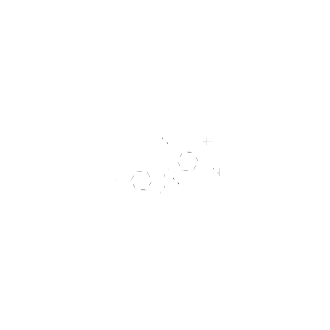 Cc1ccc(S(=O)(=O)Nc2cc(CN3CCCC3)c(O)c(CN3CCCC3)c2)cc1